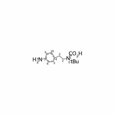 CC(C)(C)N(CCc1ccc(N)cc1)C(=O)O